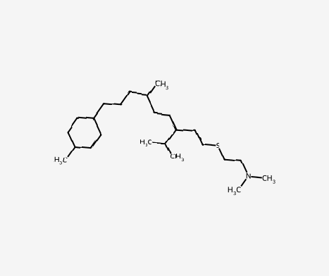 CC1CCC(CCCC(C)CCC(CCSCCN(C)C)C(C)C)CC1